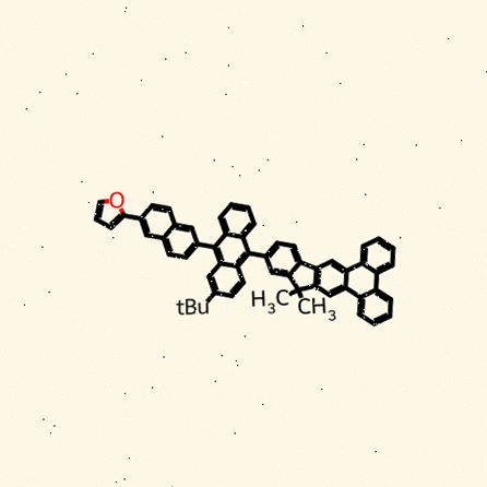 CC(C)(C)c1ccc2c(-c3ccc4c(c3)C(C)(C)c3cc5c6ccccc6c6ccccc6c5cc3-4)c3ccccc3c(-c3ccc4cc(-c5ccco5)ccc4c3)c2c1